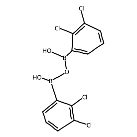 OB(OB(O)c1cccc(Cl)c1Cl)c1cccc(Cl)c1Cl